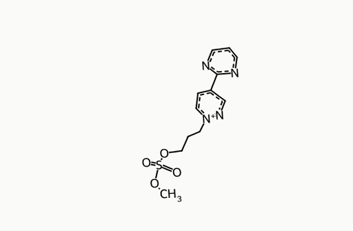 COS(=O)(=O)OCCC[n+]1ccc(-c2ncccn2)cn1